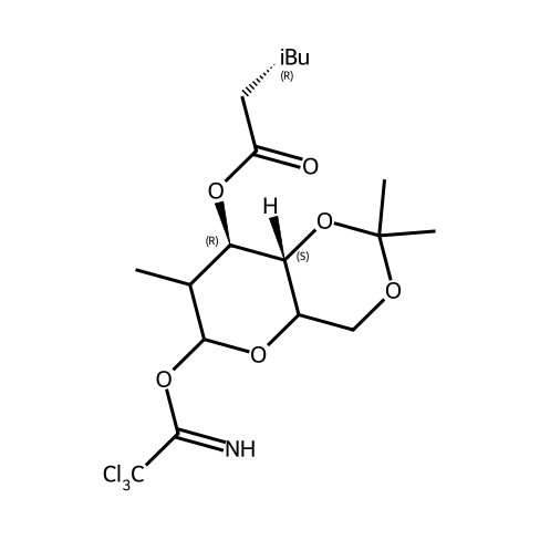 CC[C@@H](C)CC(=O)O[C@@H]1C(C)C(OC(=N)C(Cl)(Cl)Cl)OC2COC(C)(C)O[C@H]21